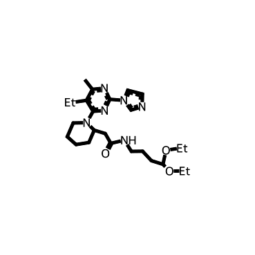 CCOC(CCCNC(=O)CC1CCCCN1c1nc(-n2ccnc2)nc(C)c1CC)OCC